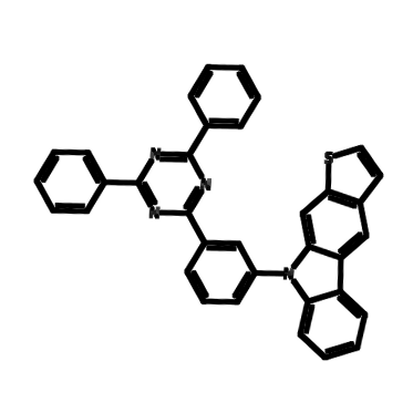 c1ccc(-c2nc(-c3ccccc3)nc(-c3cccc(-n4c5ccccc5c5cc6ccsc6cc54)c3)n2)cc1